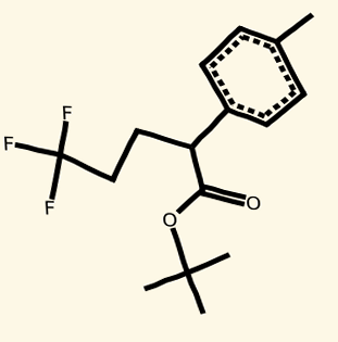 Cc1ccc(C(CCC(F)(F)F)C(=O)OC(C)(C)C)cc1